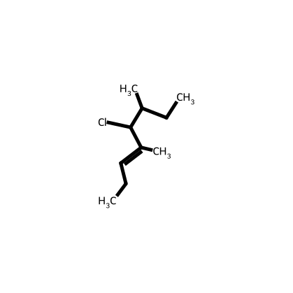 CC/C=C(\C)C(Cl)C(C)CC